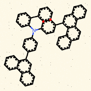 c1ccc(-c2ccccc2N(c2ccc(-c3cc4ccccc4c4ccccc34)cc2)c2ccc(-c3cc4ccccc4c4ccc5ccccc5c34)cc2)cc1